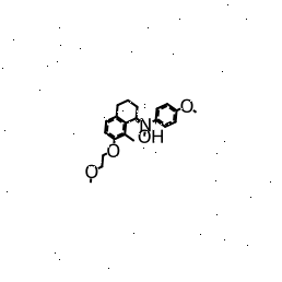 COCCOc1ccc2c(c1C)/C(=[N+](\O)c1ccc(OC)cc1)CCC2